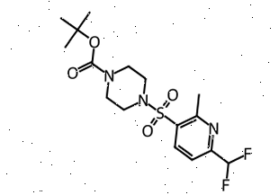 Cc1nc(C(F)F)ccc1S(=O)(=O)N1CCN(C(=O)OC(C)(C)C)CC1